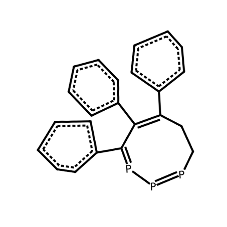 c1ccc(C2=P/P=P\CC/C(c3ccccc3)=C\2c2ccccc2)cc1